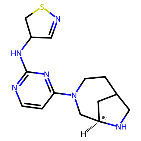 C1=NSCC1Nc1nccc(N2CCC3CN[C@H](C3)C2)n1